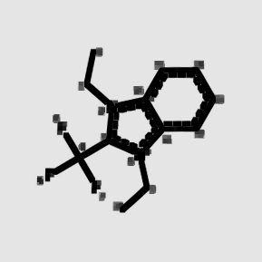 CCn1c(C(F)(F)F)[n+](CC)c2ccccc21